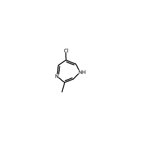 CC1=CNC=C(Cl)C=N1